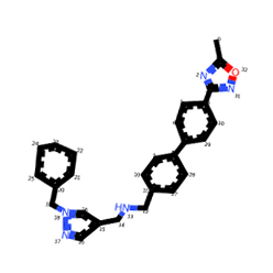 Cc1nc(-c2ccc(-c3ccc(CNCc4cnn(Cc5ccccc5)c4)cc3)cc2)no1